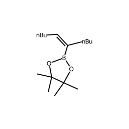 CCCC/C=C(/CCCC)B1OC(C)(C)C(C)(C)O1